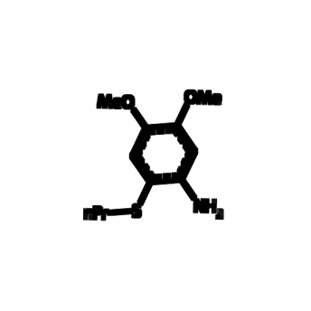 CCCSc1cc(OC)c(OC)cc1N